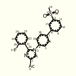 CC(=O)c1cn(-c2ccc(-c3cccc(S(C)(=O)=O)c3)cc2)c(-c2ccccc2F)n1